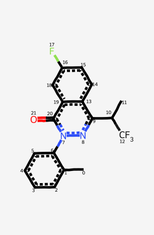 Cc1ccccc1-n1nc(C(C)C(F)(F)F)c2ccc(F)cc2c1=O